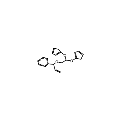 C=CC(OCC(OC1=CC=CC1)OC1=CC=CC1)c1ccccc1